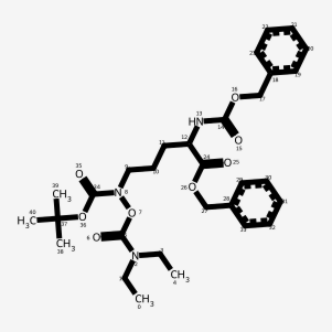 CCN(CC)C(=O)ON(CCCC(NC(=O)OCc1ccccc1)C(=O)OCc1ccccc1)C(=O)OC(C)(C)C